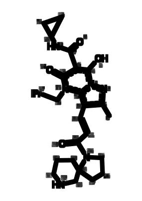 Cc1nn2c(O)c(C(=O)NC3CC3)c(=O)n(CC(C)C)c2c1/C=C/C(=O)N1CCCC12CCCNC2